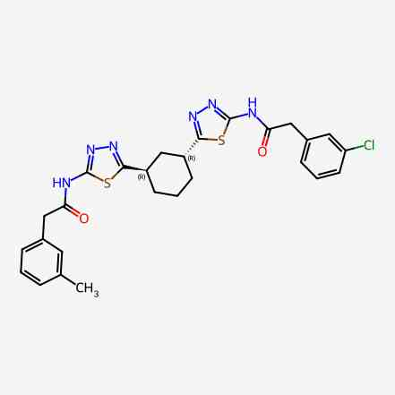 Cc1cccc(CC(=O)Nc2nnc([C@@H]3CCC[C@@H](c4nnc(NC(=O)Cc5cccc(Cl)c5)s4)C3)s2)c1